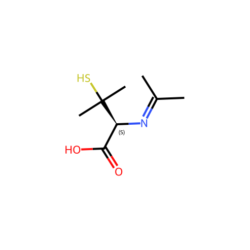 CC(C)=N[C@@H](C(=O)O)C(C)(C)S